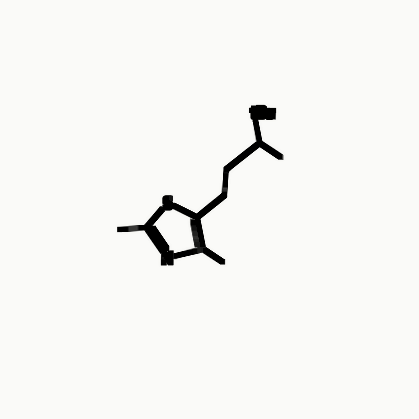 Cc1nc(C)c(CCC(C)C(C)(C)C)s1